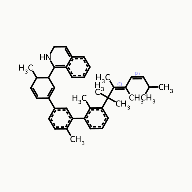 CC(/C=C\C(C)C)=C(/C)C(C)(C)c1cccc(-c2cc(C3=CC(C4=c5ccccc5=CCN4)C(C)C=C3)ccc2C)c1C